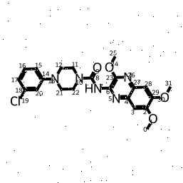 COc1cc2nc(NC(=O)N3CCN(c4cccc(Cl)c4)CC3)c(OC)nc2cc1OC